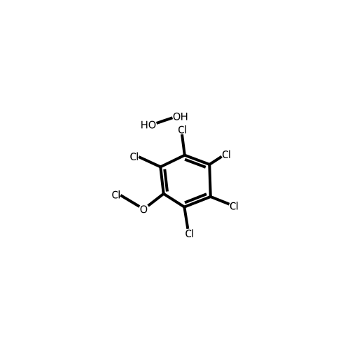 ClOc1c(Cl)c(Cl)c(Cl)c(Cl)c1Cl.OO